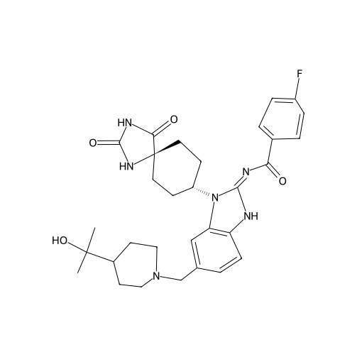 CC(C)(O)C1CCN(Cc2ccc3[nH]/c(=N\C(=O)c4ccc(F)cc4)n([C@H]4CC[C@@]5(CC4)NC(=O)NC5=O)c3c2)CC1